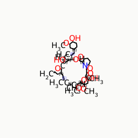 C=CC[C@@H]1/C=C(\C)C[C@H](C)C[C@H](OC)[C@H]2O[C@@](O)(C(=O)C(=O)N3CCCC[C@H]3C(=O)O[C@H](/C(C)=C/[C@@H]3CCC(O)C(OC)C3)[C@H](C)[C@@H](O)CC1=O)[C@H](C)C[C@@H]2OC